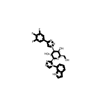 OC[C@H]1O[C@@H](c2nncn2-c2cccc3cc[nH]c23)[C@H](O)[C@@H](n2cc(-c3cc(F)c(F)c(F)c3)nn2)[C@H]1O